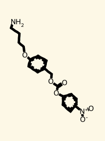 NCCCCOc1ccc(COC(=O)Oc2ccc([N+](=O)[O-])cc2)cc1